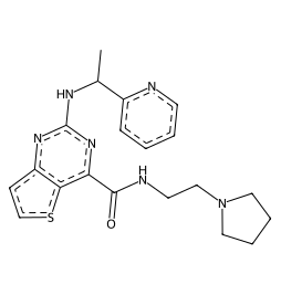 CC(Nc1nc(C(=O)NCCN2CCCC2)c2sccc2n1)c1ccccn1